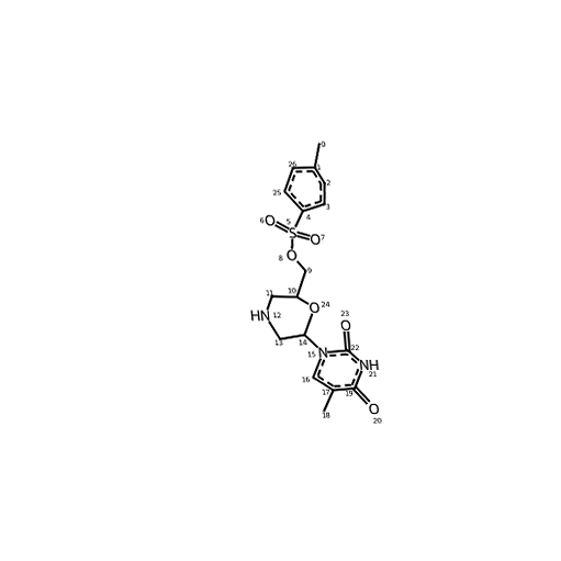 Cc1ccc(S(=O)(=O)OCC2CNCC(n3cc(C)c(=O)[nH]c3=O)O2)cc1